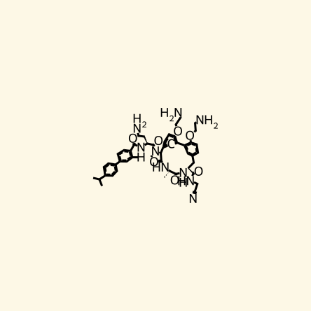 Cc1cc(-c2ccc(C(C)C)cc2)ccc1C(=O)N[C@@H](CCN)C(=O)N(C)[C@@H]1C(=O)N[C@@H](C)C(=O)N[C@H](C(=O)NCC#N)Cc2ccc(OCCN)c(c2)-c2cc1ccc2OCCN